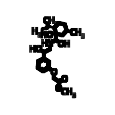 COC(=O)COc1cccc(C(O)CNC(O)[C@]2(O)C[C@H](C)CC[C@H]2C(C)C)c1